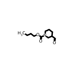 CCCCOC(=O)N1CCCC(C=O)C1